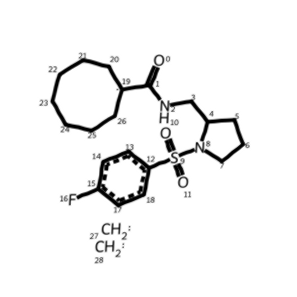 O=C(NCC1CCCN1S(=O)(=O)c1ccc(F)cc1)[C]1CCCCCCC1.[CH2].[CH2]